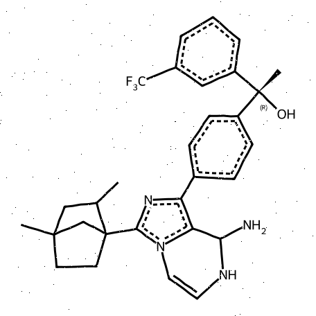 CC1CC2(C)CCC1(c1nc(-c3ccc([C@@](C)(O)c4cccc(C(F)(F)F)c4)cc3)c3n1C=CNC3N)C2